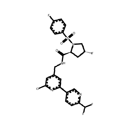 O=C(NCc1cc(Cl)nc(-c2ccc(C(F)F)nc2)c1)[C@@H]1C[C@@H](F)CN1S(=O)(=O)c1ccc(F)cc1